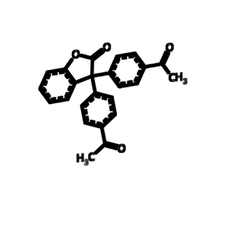 CC(=O)c1ccc(C2(c3ccc(C(C)=O)cc3)C(=O)Oc3ccccc32)cc1